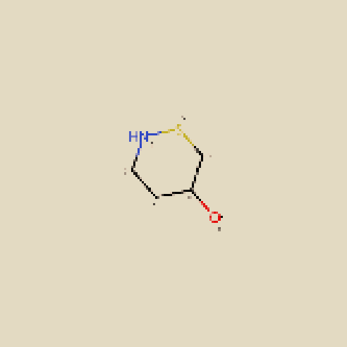 [O]C1CCNSC1